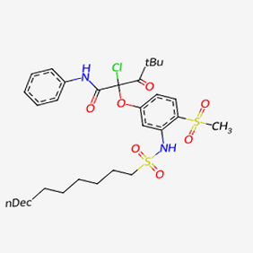 CCCCCCCCCCCCCCCCS(=O)(=O)Nc1cc(OC(Cl)(C(=O)Nc2ccccc2)C(=O)C(C)(C)C)ccc1S(C)(=O)=O